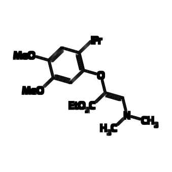 CCOC(=O)/C(=C\N(C)C)Oc1cc(OC)c(OC)cc1C(C)C